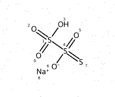 O=S(=O)(O)S(=O)([O-])=S.[Na+]